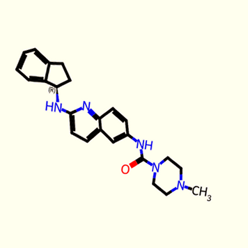 CN1CCN(C(=O)Nc2ccc3nc(N[C@@H]4CCc5ccccc54)ccc3c2)CC1